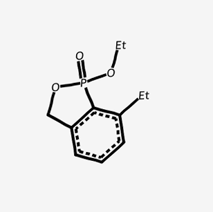 CCOP1(=O)OCc2cccc(CC)c21